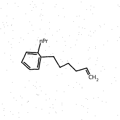 C=CCCCCc1ccccc1CCC